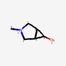 CN1CC2C(O)C2C1